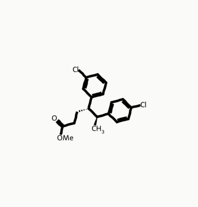 COC(=O)CC[C@H](c1cccc(Cl)c1)[C@H](C)c1ccc(Cl)cc1